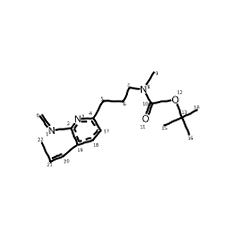 C=Nc1nc(CCCN(C)C(=O)OC(C)(C)C)ccc1/C=C\C